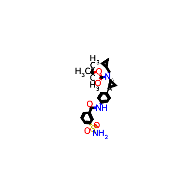 CC(C)(C)OC(=O)N(CC1CC1)[C@@H]1C[C@H]1c1ccc(NC(=O)c2cccc(S(N)(=O)=O)c2)cc1